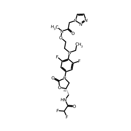 CCN(CCON(C)C(=O)Cn1ccnn1)c1c(F)cc(N2C[C@H](CNC(=O)C(F)F)OC2=O)cc1F